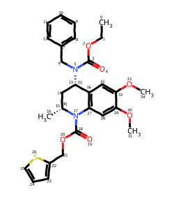 CCOC(=O)N(Cc1ccccc1)[C@H]1C[C@@H](C)N(C(=O)OCc2cccs2)c2cc(OC)c(OC)cc21